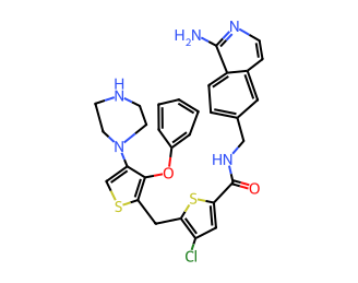 Nc1nccc2cc(CNC(=O)c3cc(Cl)c(Cc4scc(N5CCNCC5)c4Oc4ccccc4)s3)ccc12